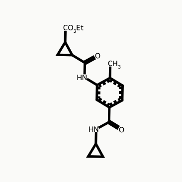 CCOC(=O)C1CC1C(=O)Nc1cc(C(=O)NC2CC2)ccc1C